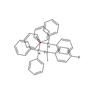 Fc1cc[c]([Pd]([I])([PH](c2ccccc2)(c2ccccc2)c2ccccc2)[PH](c2ccccc2)(c2ccccc2)c2ccccc2)cc1